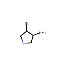 CCC1C[N]CC1NC